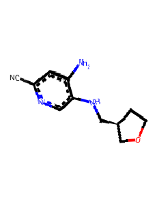 N#Cc1cc(N)c(NC[C@H]2CCOC2)cn1